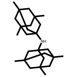 CC12CC3(C)CC(C)(C1)CC(NC14CC5(C)CC(C)(CC(C)(C5)C1)C4)(C2)C3